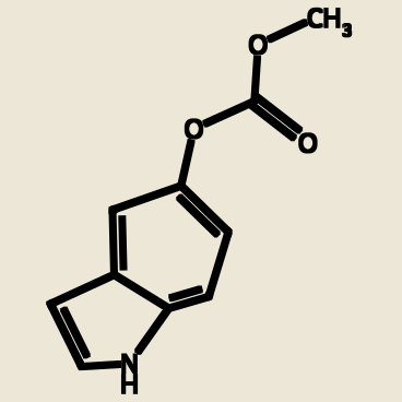 COC(=O)Oc1ccc2[nH]ccc2c1